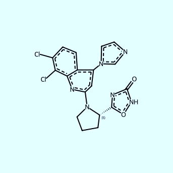 O=c1nc([C@@H]2CCCN2c2cc(-n3ccnc3)c3ccc(Cl)c(Cl)c3n2)o[nH]1